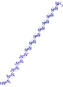 N=N/N=N/N=N/N=N/N=N/N=N/N=N/N=N/N=N/N=N/N=N/N=N/N